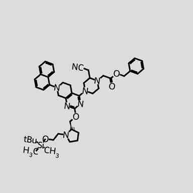 CC(C)(C)[Si](C)(C)OCCN1CCC[C@@H]1COc1nc2c(c(N3CCN(CC(=O)OCc4ccccc4)C(CC#N)C3)n1)CCN(c1cccc3ccccc13)C2